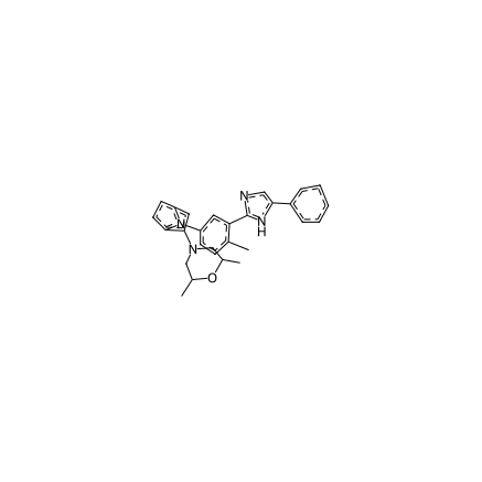 Cc1ccc(-n2c3ccc2c(N2CC(C)OC(C)C2)c3)cc1-c1ncc(-c2ccccc2)[nH]1